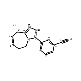 C[C@H]1N=NCCn2c(-c3cccc(C#N)n3)nnc21